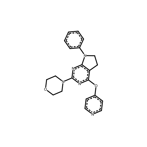 c1ccc(N2CCc3c(Oc4ccncc4)nc(N4CCOCC4)nc32)cc1